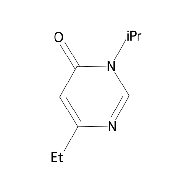 CCc1cc(=O)n(C(C)C)cn1